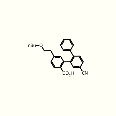 CCCCOCCc1ccc(C(=O)O)c(-c2cc(C#N)ccc2-c2ccccc2)c1